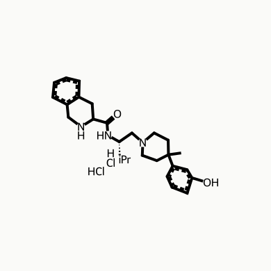 CC(C)[C@@H](CN1CCC(C)(c2cccc(O)c2)CC1)NC(=O)C1Cc2ccccc2CN1.Cl.Cl